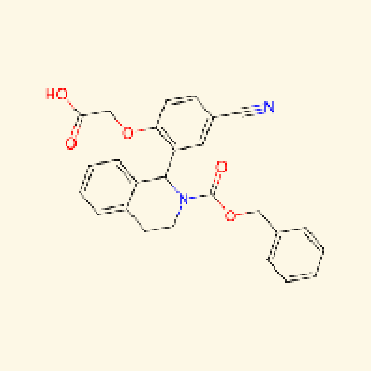 N#Cc1ccc(OCC(=O)O)c(C2c3ccccc3CCN2C(=O)OCc2ccccc2)c1